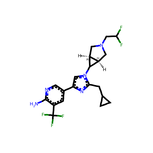 Nc1ncc(-c2cn(C3[C@H]4CN(CC(F)F)C[C@@H]34)c(CC3CC3)n2)cc1C(F)(F)F